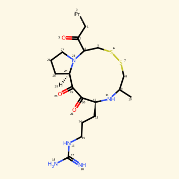 CC(C)CC(=O)C1CSSCC(C)N[C@@H](CCCNC(=N)N)C(=O)C(=O)[C@H]2CCCN12